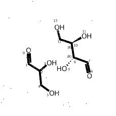 O=CC(O)CO.O=C[C@H](O)[C@H](O)CO